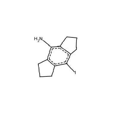 Nc1c2c(c(I)c3c1CCC3)CCC2